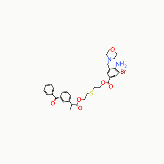 CC(C(=O)OCCSCCOC(=O)c1cc(Br)c(N)c(CN2CCOCC2)c1)c1cccc(C(=O)c2ccccc2)c1